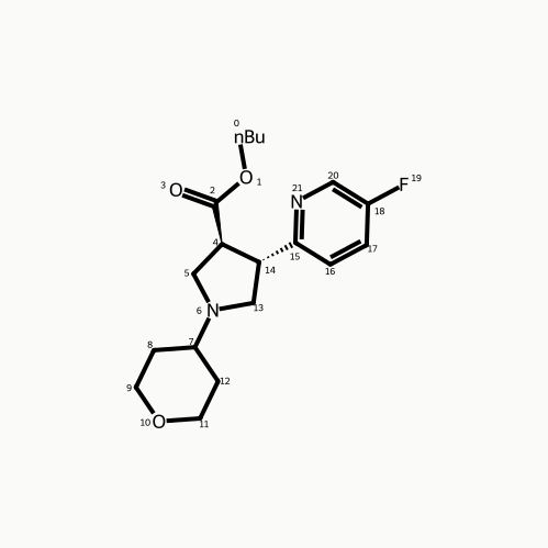 CCCCOC(=O)[C@@H]1CN(C2CCOCC2)C[C@H]1c1ccc(F)cn1